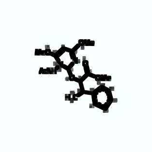 COC(=O)C(OC1N=C(OC)C=C(OC)N1NC(C)=O)C(C)c1ccccc1